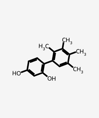 Cc1cc(-c2ccc(O)cc2O)c(C)c(C)c1C